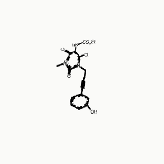 CCOC(=O)Nc1c(Cl)n(CC#Cc2cccc(O)c2)c(=O)n(C)c1=O